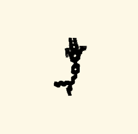 CCCCCC(CCC)CCCC1CCC(C2CC(F)C(O)C(F)C2)CC1